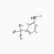 CBc1cccc(C(F)(F)F)c1